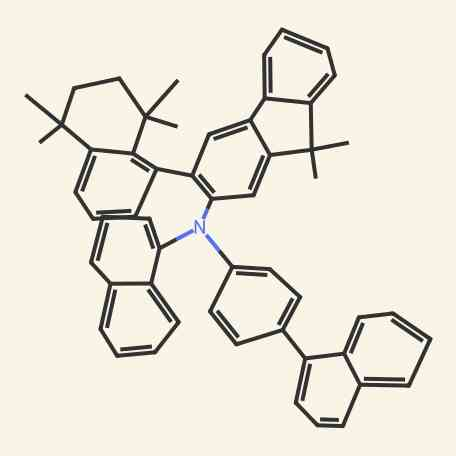 CC1(C)CCC(C)(C)c2c(-c3cc4c(cc3N(c3ccc(-c5cccc6ccccc56)cc3)c3cccc5ccccc35)C(C)(C)c3ccccc3-4)cccc21